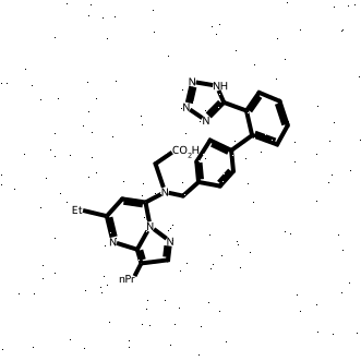 CCCc1cnn2c(N(CC(=O)O)Cc3ccc(-c4ccccc4-c4nnn[nH]4)cc3)cc(CC)nc12